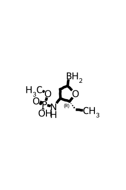 BC1CC(NP(=O)(O)OC)[C@@H](CC)O1